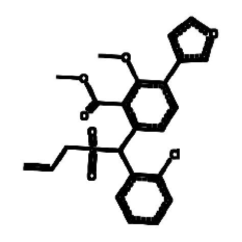 C=CCS(=O)(=O)C(c1ccccc1Cl)c1ccc(-c2ccoc2)c(OC)c1C(=O)OC